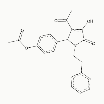 CC(=O)Oc1ccc(C2C(C(C)=O)=C(O)C(=O)N2CCc2ccccc2)cc1